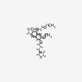 CCOCCNc1c2c(nc3cc(OCCCN4CCCC4)c(OC)nc13)CCC2